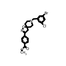 COC(=O)c1ccc(C2=NOC3(CCN(Cc4cc(Cl)cc(Br)c4)CC3)C2)cc1